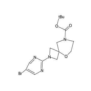 CC(C)(C)OC(=O)N1CCOC2(C1)CN(c1ncc(Br)cn1)C2